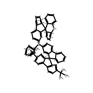 CC(C)(C)c1ccc2c(c1)C1(c3ccccc3-c3ccc(N(c4ccccc4)c4ccc5c(c4)C4(c6ccccc6Oc6ccccc64)c4ccccc4-5)cc31)c1cc(C(C)(C)C)ccc1-2